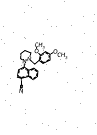 COc1ccc(CN2CCCCN2c2ccc(C#N)c3ccccc23)c(OC)c1